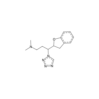 CN(C)CCC(C1Cc2ccccc2O1)n1cnnn1